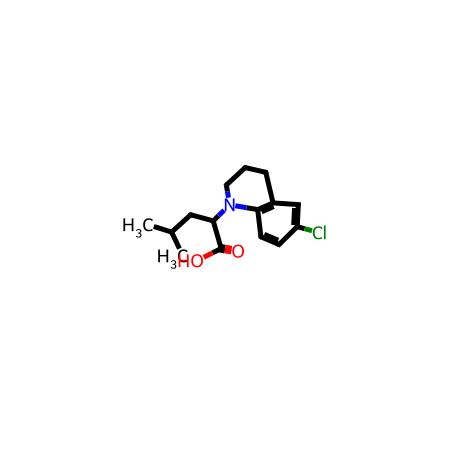 CC(C)CC(C(=O)O)N1CCCc2cc(Cl)ccc21